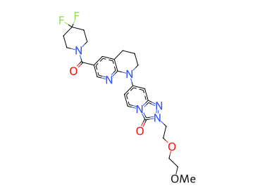 COCCOCCn1nc2cc(N3CCCc4cc(C(=O)N5CCC(F)(F)CC5)cnc43)ccn2c1=O